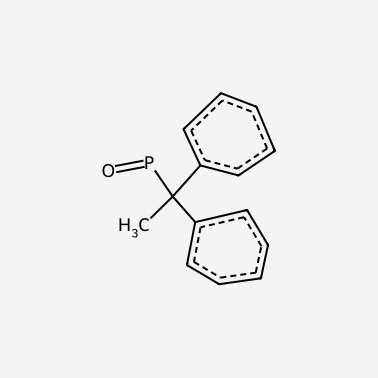 CC(P=O)(c1ccccc1)c1ccccc1